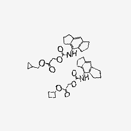 O=C(COC(=O)Nc1c2c(cc3c1CCC3)CCC2)OC1CCC1.O=C(COC(=O)Nc1c2c(cc3c1CCC3)CCC2)OCC1CC1